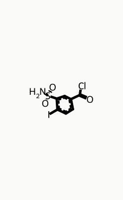 NS(=O)(=O)c1cc(C(=O)Cl)ccc1I